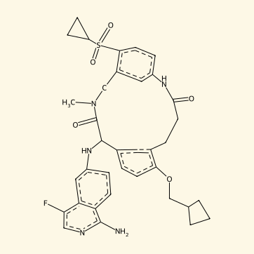 CN1Cc2cc(ccc2S(=O)(=O)C2CC2)NC(=O)CCc2cc(ccc2OCC2CCC2)C(Nc2ccc3c(N)ncc(F)c3c2)C1=O